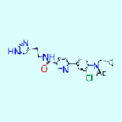 CC(=O)N(CC1CC1)c1ccc(-c2ccc(C(=O)NCCc3c[nH]cn3)cn2)cc1Cl